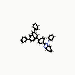 c1ccc(-c2ccc3c(-c4ccc(-c5nc6ccccc6n5-c5ccccc5)cc4)cc(-c4ccccc4)cc3c2)cc1